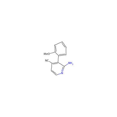 COc1ccccc1-c1c(C#N)ccnc1N